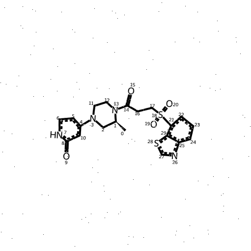 C[C@H]1CN(c2cc[nH]c(=O)c2)CCN1C(=O)CCS(=O)(=O)c1cccc2ncsc12